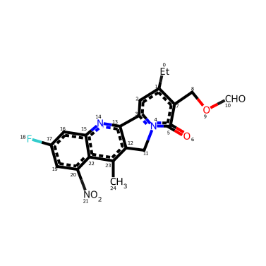 CCc1cc2n(c(=O)c1COC=O)Cc1c-2nc2cc(F)cc([N+](=O)[O-])c2c1C